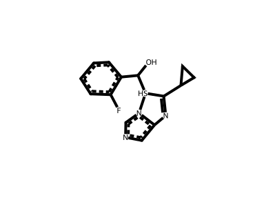 OC(c1ccccc1F)[SH]1C(C2CC2)=Nc2cncn21